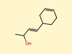 CC(O)/C=C/C1CC=CCC1